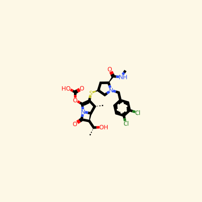 CNC(=O)[C@@H]1C[C@H](SC2=C(OC(=O)O)N3C(=O)[C@H]([C@@H](C)O)C3[C@H]2C)CN1Cc1ccc(Cl)c(Cl)c1